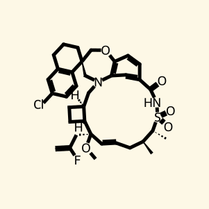 C=C(F)C[C@@]1(OC)/C=C/C[C@H](C)[C@@H](C)S(=O)(=O)NC(=O)c2ccc3c(c2)N(C[C@@H]2CC[C@H]21)C[C@@]1(CCCc2cc(Cl)ccc21)CO3